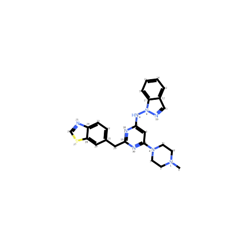 CN1CCN(c2cc(Nn3ncc4ccccc43)nc(Cc3ccc4ncsc4c3)n2)CC1